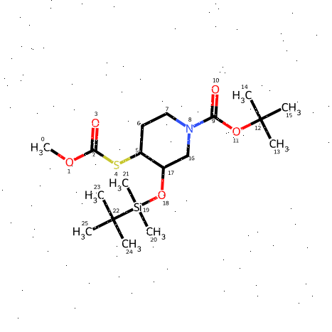 COC(=O)SC1CCN(C(=O)OC(C)(C)C)CC1O[Si](C)(C)C(C)(C)C